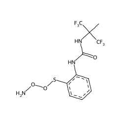 CC(NC(=O)Nc1ccccc1SOON)(C(F)(F)F)C(F)(F)F